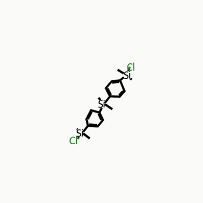 C[Si](C)(Cl)c1ccc([Si](C)(C)c2ccc([Si](C)(C)Cl)cc2)cc1